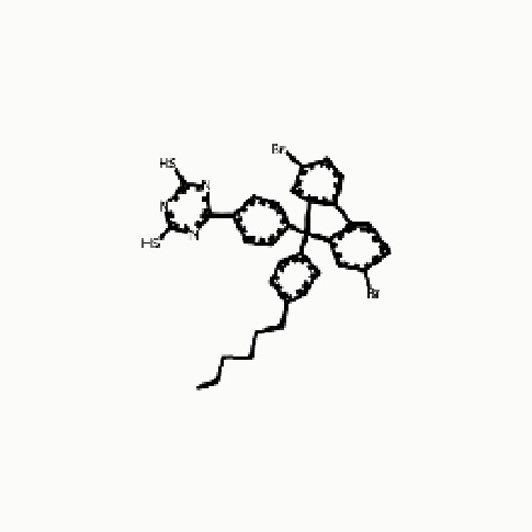 CCCCCCc1ccc(C2(c3ccc(-c4nc(S)nc(S)n4)cc3)c3cc(Br)ccc3-c3ccc(Br)cc32)cc1